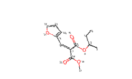 CCC(C)OC(=O)/C(=C\c1ccco1)C(=O)OC